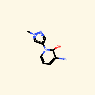 Cn1cc(N2C=CC=C(N)C2O)cn1